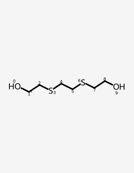 O[CH]CSCCSCCO